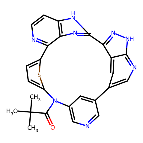 CC(C)(C)C(=O)n1c2cncc(c2)c2cnc3[nH]nc(c4nc5c(ccnc5c5ccc1s5)[nH]4)c3c2